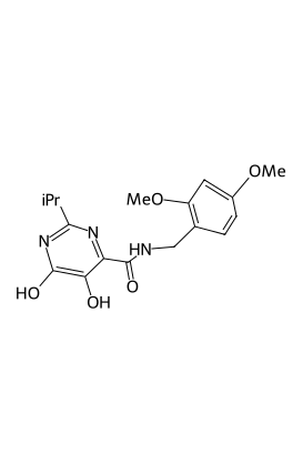 COc1ccc(CNC(=O)c2nc(C(C)C)nc(O)c2O)c(OC)c1